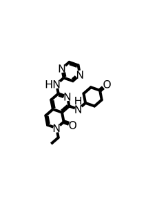 CCn1ccc2cc(Nc3cnccn3)nc(NC3CCC(=O)CC3)c2c1=O